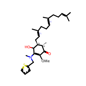 COC1=C(N(C)Cc2cccs2)C(O)[C@@H](C/C=C(\C)CC/C=C(\C)CCC=C(C)C)[C@H](C)C1=O